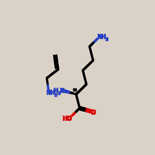 C=CCN.NCCCC[C@H](N)C(=O)O